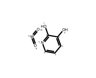 Oc1cccnc1O.[O]=[W]=[O]